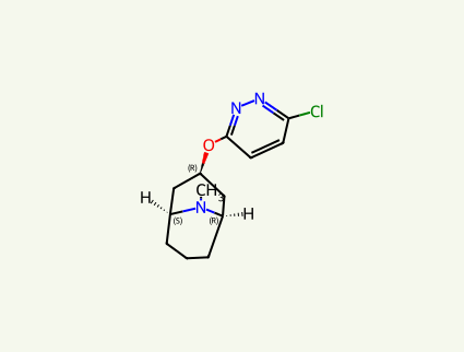 CN1[C@@H]2CCC[C@H]1C[C@@H](Oc1ccc(Cl)nn1)C2